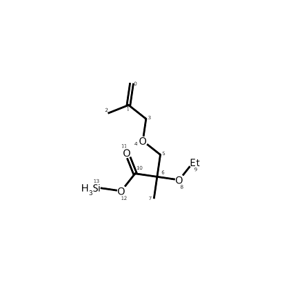 C=C(C)COCC(C)(OCC)C(=O)O[SiH3]